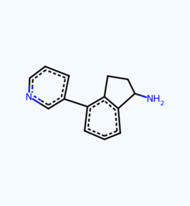 NC1CCc2c(-c3cccnc3)cccc21